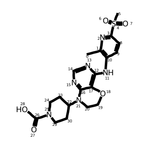 Cc1nc(S(C)(=O)=O)ccc1Nc1ncnc2c1OCCN2C1CCN(C(=O)O)CC1